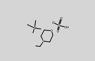 CCN1CCOCC1.C[N+](C)(C)C.O=S(=O)([O-])O